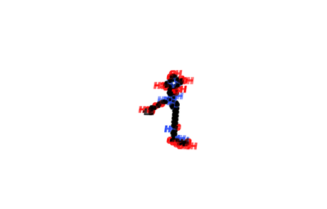 O=C(O)CCOCCOCCNc1nc(Nc2ccc(CC3CN(CC(=O)O)CCN(CC(=O)O)CCN(CC(=O)O)CCN3CC(=O)O)cc2)nc(N2CCN(CCCCCCCCCCC(=O)NCCCC[C@H](NC(=O)N[C@@H](CCC(=O)O)C(=O)O)C(=O)O)CC2)n1.[Lu]